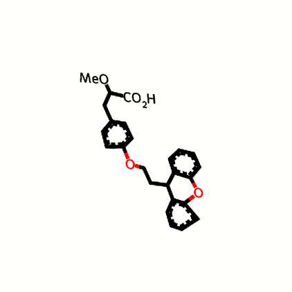 COC(Cc1ccc(OCCC2c3ccccc3Oc3ccccc32)cc1)C(=O)O